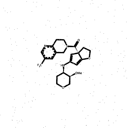 CO[C@H]1COCC[C@H]1NC1=C[C@@]2(C(=O)N3CCc4ncc(C(F)(F)F)cc4C3)CCOC2=C1